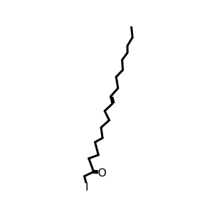 CCCCCCCCC=CCCCCCCCC(=O)CI